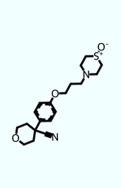 N#CC1(c2ccc(OCCCN3CC[S+]([O-])CC3)cc2)CCOCC1